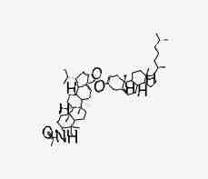 CC(=O)NC1CC[C@@]2(C)C(CC[C@]3(C)[C@@H]2CC[C@@H]2C4[C@H](C(C)C)CC[C@]4(C(=O)O[C@H]4CC[C@@]5(C)C(=CC[C@H]6[C@@H]7CC[C@H]([C@H](C)CCCC(C)C)[C@@]7(C)CC[C@@H]65)C4)CC[C@]23C)C1(C)C